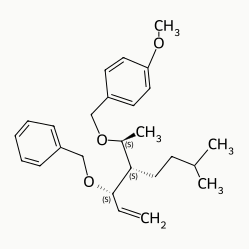 C=C[C@H](OCc1ccccc1)[C@@H](CCC(C)C)[C@H](C)OCc1ccc(OC)cc1